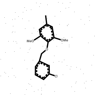 COc1cc(C)cc(OC)c1OCc1cccc(Cl)c1